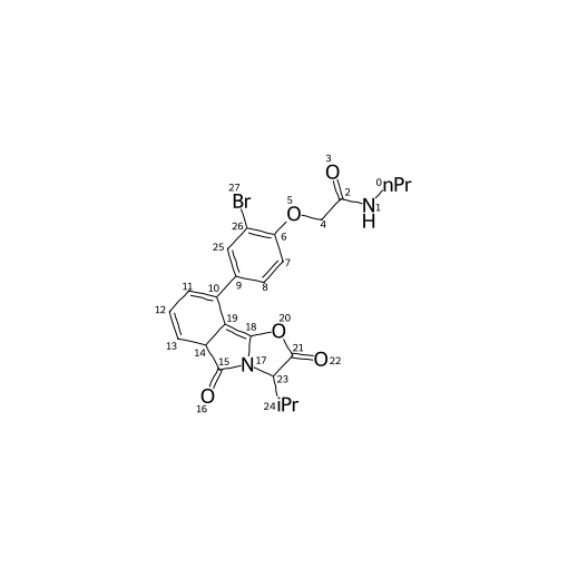 CCCNC(=O)COc1ccc(C2=CC=CC3C(=O)N4C(=C23)OC(=O)C4C(C)C)cc1Br